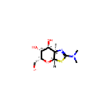 CN(C)C1=N[C@@H]2[C@H](O)[C@@H](O)[C@@H](CO)O[C@@H]2S1